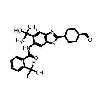 CC(C)(O)c1cc2nc(C3CCC(C=O)CC3)sc2cc1NC(=O)c1ccccc1C(C)(F)F